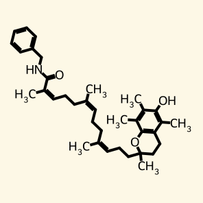 CC(=CCCC(C)=CCCC1(C)CCc2c(C)c(O)c(C)c(C)c2O1)CCC=C(C)C(=O)NCc1ccccc1